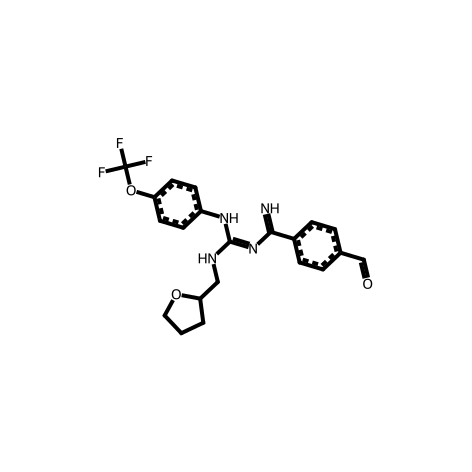 N=C(/N=C(/NCC1CCCO1)Nc1ccc(OC(F)(F)F)cc1)c1ccc(C=O)cc1